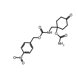 NC(=O)OC1(CNC(=O)OCc2ccc([N+](=O)[O-])cc2)CCC(=O)CC1